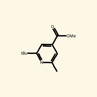 COC(=O)c1cc(C)nc(C(C)(C)C)c1